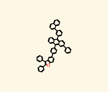 c1ccc(-c2ccc3c(-c4cccc(-c5cccc6ccccc56)c4)c4ccccc4c(-c4ccc(-c5ccc6oc(-c7ccccc7)c(-c7ccccc7)c6c5)cc4)c3c2)cc1